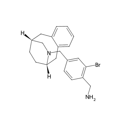 NCc1ccc(CN2C[C@@H]3CC[C@H]2Cc2ccccc2C3)cc1Br